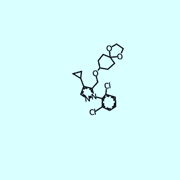 Clc1cccc(Cl)c1-n1ncc(C2CC2)c1COC1CCC2(CC1)OCCO2